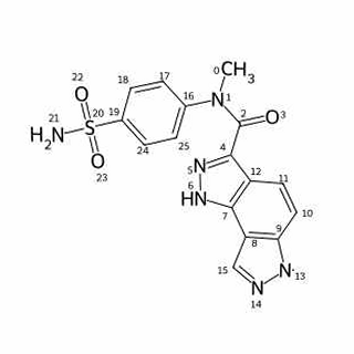 CN(C(=O)c1n[nH]c2c3c(ccc12)[N]N=C3)c1ccc(S(N)(=O)=O)cc1